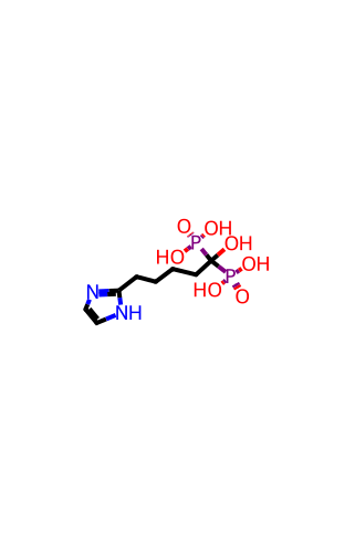 O=P(O)(O)C(O)(CCCCc1ncc[nH]1)P(=O)(O)O